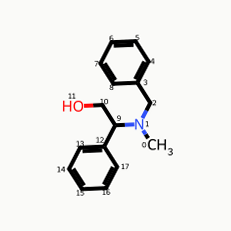 CN(Cc1ccccc1)C(CO)c1ccccc1